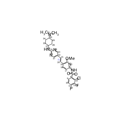 COc1nc(NS(=O)(=O)c2ccc(F)c(F)c2Cl)ccc1/C=C/c1cnc(NC2CCC(N(C)C)CC2)nc1